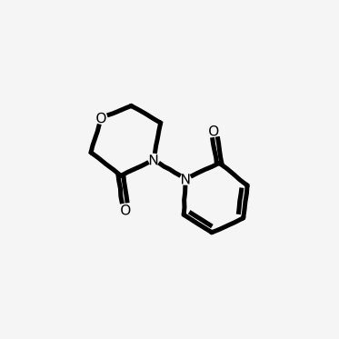 O=C1COCCN1n1ccccc1=O